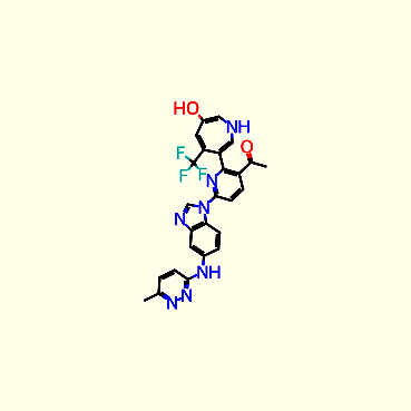 CC(=O)c1ccc(-n2cnc3cc(Nc4ccc(C)nn4)ccc32)nc1C1=CNC=C(O)C=C1C(F)(F)F